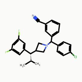 CC(C)[C@H](c1cc(F)cc(F)c1)C1CN(C(c2ccc(Cl)cc2)c2cccc(C#N)c2)C1